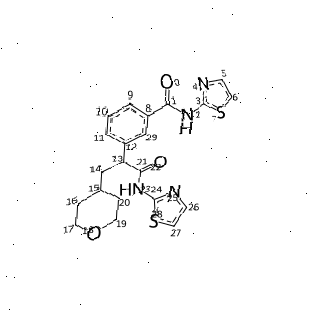 O=C(Nc1nccs1)c1cccc(C(CC2CCOCC2)C(=O)Nc2nccs2)c1